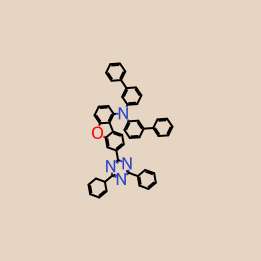 C1=CCC(c2nc(-c3ccccc3)nc(-c3ccc4c(c3)oc3cccc(N(c5cccc(-c6ccccc6)c5)c5cccc(-c6ccccc6)c5)c34)n2)C=C1